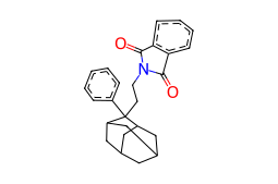 O=C1c2ccccc2C(=O)N1CCC1(c2ccccc2)C2CC3CC(C2)CC1C3